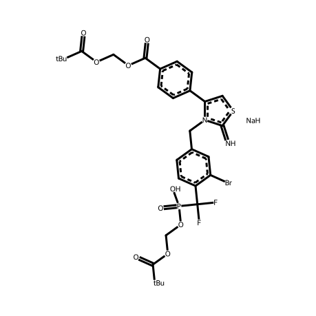 CC(C)(C)C(=O)OCOC(=O)c1ccc(-c2csc(=N)n2Cc2ccc(C(F)(F)P(=O)(O)OCOC(=O)C(C)(C)C)c(Br)c2)cc1.[NaH]